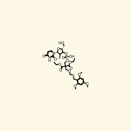 CCOC(=O)C(COCSCc1c(OC)cc(OC)cc1OC)(COP(=O)(O)OC1C(F)[C@H](n2ccc(=O)[nH]c2=O)O[C@@H]1CO)C(=O)OCC